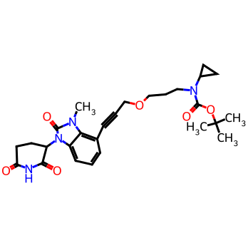 Cn1c(=O)n(C2CCC(=O)NC2=O)c2cccc(C#CCOCCCN(C(=O)OC(C)(C)C)C3CC3)c21